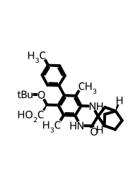 Cc1ccc(-c2c(C)c3c(c(C)c2[C@H](OC(C)(C)C)C(=O)O)NC(=O)C2(C[C@@H]4CC[C@H]2C4)N3)cc1